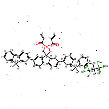 C=CC(=O)OCC1(COC(=O)C=C)c2cc(-c3ccc4c(c3)C(C)(C)c3ccccc3-4)ccc2-c2ccc(-c3ccc4c(c3)C(C)(C)c3cc(CC(C)(C(F)(F)F)C(F)(F)F)ccc3-4)cc21